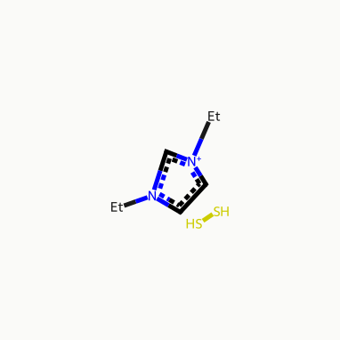 CCn1cc[n+](CC)c1.SS